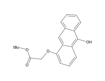 CC(C)(C)OC(=O)COc1cccc2c(O)c3ccccc3cc12